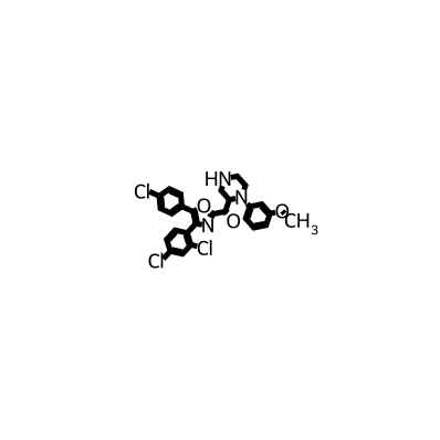 COc1cccc(N2CCNCC2C(=O)c2nc(-c3ccc(Cl)cc3Cl)c(-c3ccc(Cl)cc3)o2)c1